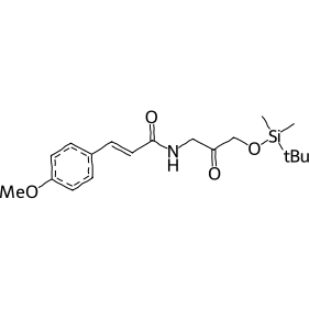 COc1ccc(C=CC(=O)NCC(=O)CO[Si](C)(C)C(C)(C)C)cc1